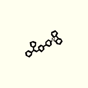 C1=C(c2ccc(C=C(c3ccccc3)c3ccccc3)cc2)CCC(n2c3ccccc3c3ccccc32)=C1